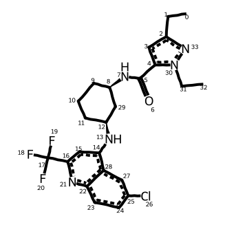 CCc1cc(C(=O)N[C@@H]2CCC[C@H](Nc3cc(C(F)(F)F)nc4ccc(Cl)cc34)C2)n(CC)n1